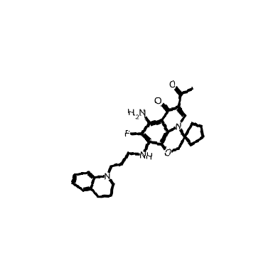 CC(=O)c1cn2c3c(c(NCCCN4CCCc5ccccc54)c(F)c(N)c3c1=O)OCC21CCCC1